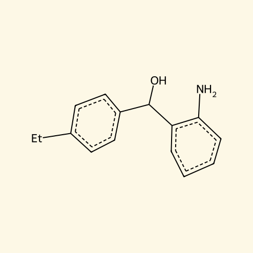 CCc1ccc(C(O)c2ccccc2N)cc1